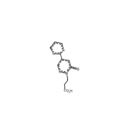 O=C(O)CCn1ncc(-c2ncccn2)cc1=O